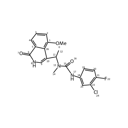 COc1cccc2c(=O)[nH]cc(C(C)N(C)C(=O)Nc3ccc(F)c(Cl)c3)c12